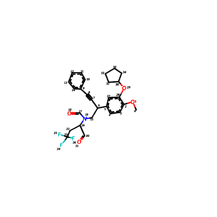 COc1ccc(C(C#Cc2ccccc2)CN(C=O)C(C=O)CC(F)(F)F)cc1OC1CCCC1